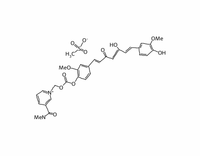 CNC(=O)c1ccc[n+](COC(=O)Oc2ccc(/C=C/C(=O)/C=C(O)/C=C/c3ccc(O)c(OC)c3)cc2OC)c1.CS(=O)(=O)[O-]